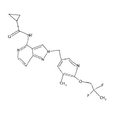 Cc1cc(Cn2cc3c(NC(=O)C4CC4)nccc3n2)cnc1OCC(C)(F)F